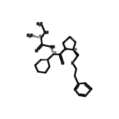 CN[C@@H](C)C(=O)N[C@H](C(=O)N1CCC[C@H]1CSCCc1ccccc1)C1CCCCC1